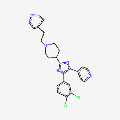 Clc1ccc(-c2[nH]c(C3CCN(CCc4ccncc4)CC3)nc2-c2ccncc2)cc1Cl